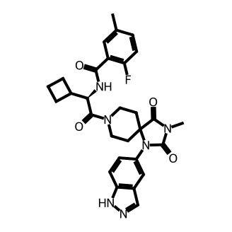 Cc1ccc(F)c(C(=O)N[C@@H](C(=O)N2CCC3(CC2)C(=O)N(C)C(=O)N3c2ccc3[nH]ncc3c2)C2CCC2)c1